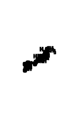 Cn1cc(-c2ccnc(-n3ncc4cc(C(C)(C)C)cc(F)c4c3=O)c2CO)cc(Nc2cc3n(n2)CCN(C(=O)CCCNc2cccc4c2C(=O)N(C2CCC(=O)NC2=O)C4=O)C3)c1=O